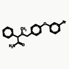 CN(Cc1ccc(Oc2cccc(Br)c2)cc1)C(C(N)=O)c1ccccc1